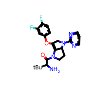 CC(C)(C)C(N)C(=O)N1CCC2C1=C(Oc1ccc(F)c(F)c1)CN2c1ncccn1